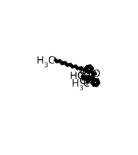 CCCCCCCCCCCCOc1cccc(C(=O)c2c(OC(=O)O)n(C)c3ccccc23)c1